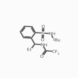 CCC(NC(=O)C(F)(F)F)c1ccccc1S(=O)(=O)NC(C)(C)C